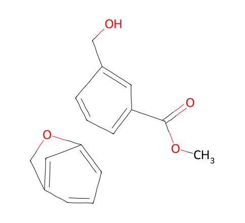 COC(=O)c1cccc(CO)c1.c1cc2cc(c1)OC2